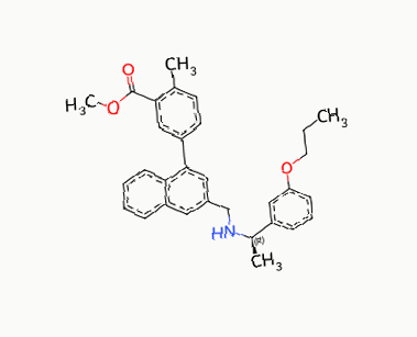 CCCOc1cccc([C@@H](C)NCc2cc(-c3ccc(C)c(C(=O)OC)c3)c3ccccc3c2)c1